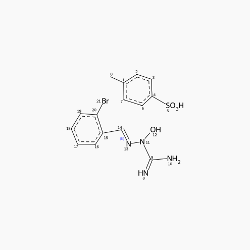 Cc1ccc(S(=O)(=O)O)cc1.N=C(N)N(O)/N=C/c1ccccc1Br